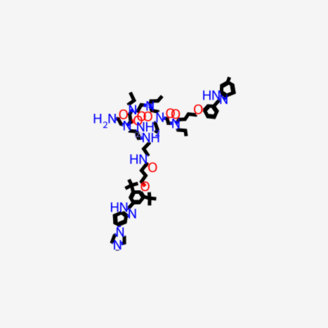 CCCN(CC(=O)N(CCC)CC(=O)N(CCC)CC(=O)N(CCC)CC(=O)N(CC(N)=O)C/C(N)=C/NCCCNC(=O)CCCOc1c(C(C)(C)C)cc(-c2nc3cc(N4CCN(C)CC4)ccc3[nH]2)cc1C(C)(C)C)C(=O)CCCOc1cccc(-c2nc3ccc(C)cc3[nH]2)c1